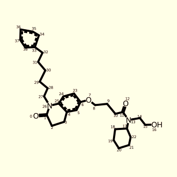 O=C1CCc2cc(OCCCC(=O)N(CCO)C3CCCCC3)ccc2N1CCCCCCc1ccccc1